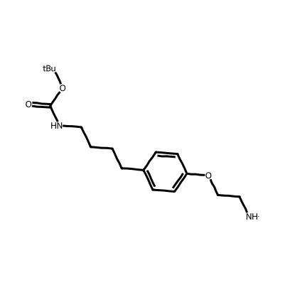 CC(C)(C)OC(=O)NCCCCc1ccc(OCC[NH])cc1